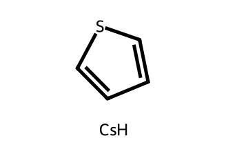 [CsH].c1ccsc1